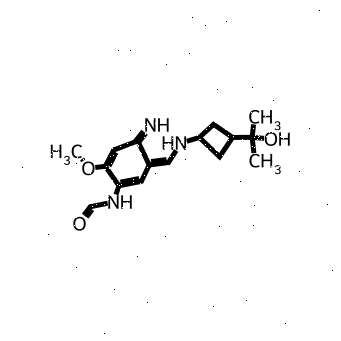 COC1=CC(=N)/C(=C\NC2CC(C(C)(C)O)C2)C=C1NC=O